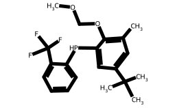 COCOc1c(C)cc(C(C)(C)C)cc1Pc1ccccc1C(F)(F)F